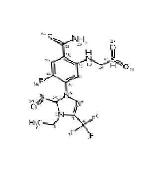 CCN1C(C(F)(F)F)=NN(c2cc(NC[SH](=O)=O)c(C(N)=S)cc2F)C1C=O